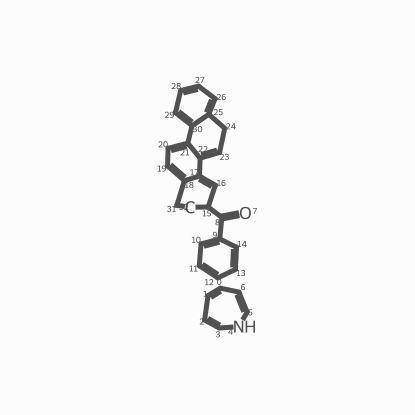 C1=CC=CNC=C1.O=C(c1ccccc1)C1C=c2c(ccc3c2=CCc2ccccc2-3)CC1